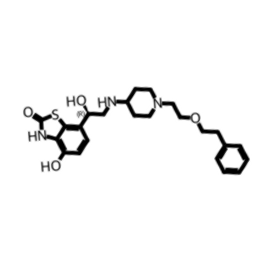 O=c1[nH]c2c(O)ccc([C@@H](O)CNC3CCN(CCOCCc4ccccc4)CC3)c2s1